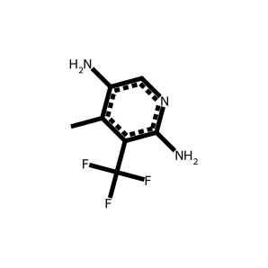 Cc1c(N)cnc(N)c1C(F)(F)F